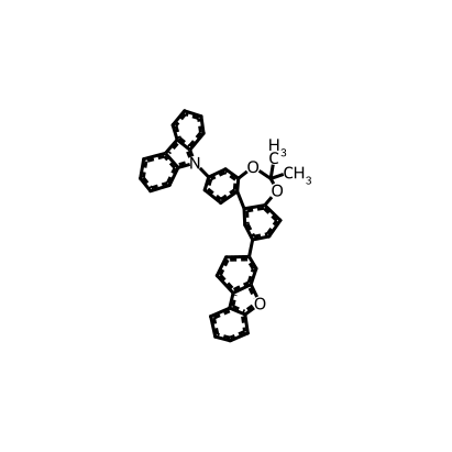 CC1(C)Oc2cc(-n3c4ccccc4c4ccccc43)ccc2-c2cc(-c3ccc4c(c3)oc3ccccc34)ccc2O1